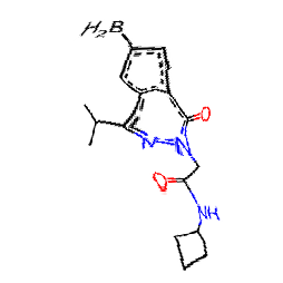 Bc1ccc2c(=O)n(CC(=O)NC3CCC3)nc(C(C)C)c2c1